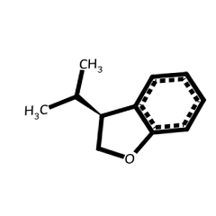 CC(C)[C@@H]1COc2ccccc21